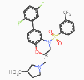 O=C(O)C1CCN(C[C@H]2CN(S(=O)(=O)c3cccc(C(F)(F)F)c3)c3cc(-c4cc(F)ccc4F)ccc3O2)C1